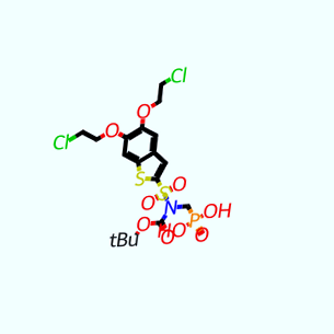 CC(C)(C)OC(=O)N(CP(=O)(O)O)S(=O)(=O)c1cc2cc(OCCCl)c(OCCCl)cc2s1